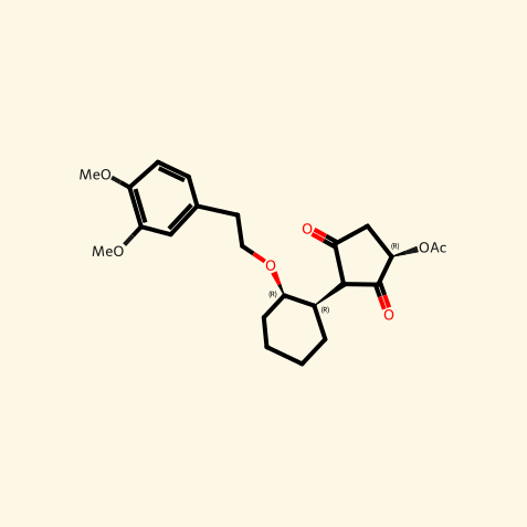 COc1ccc(CCO[C@@H]2CCCC[C@@H]2C2C(=O)C[C@@H](OC(C)=O)C2=O)cc1OC